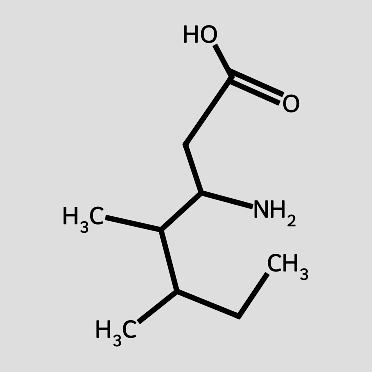 CCC(C)C(C)C(N)CC(=O)O